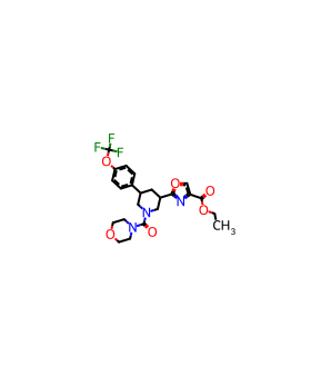 CCOC(=O)c1coc(C2CC(c3ccc(OC(F)(F)F)cc3)CN(C(=O)N3CCOCC3)C2)n1